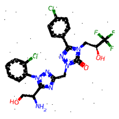 NC(CO)c1nc(Cn2nc(-c3ccc(Cl)cc3)n(C[C@H](O)C(F)(F)F)c2=O)nn1-c1ccccc1Cl